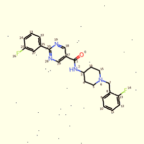 O=C(NC1CCN(Cc2ccccc2F)CC1)c1cnc(-c2cccc(F)c2)nc1